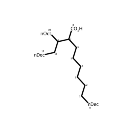 CCCCCCCCCCCCCCCCC(C(=O)O)C(CCCCCCCC)CCCCCCCCCCC